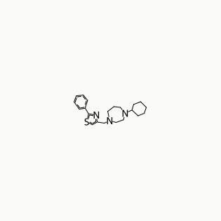 c1ccc(-c2nc(CN3CCCN(C4CCCCC4)CC3)cs2)cc1